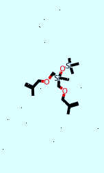 C=C(C)COC[Si](C)(COCC(=C)C)O[Si](C)(C)C